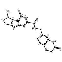 CC1SCc2sc3nc(C(=O)NCc4ccc5c(c4)NC(=O)CO5)[nH]c(=O)c3c21